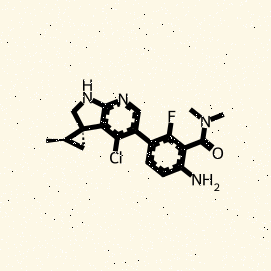 C[C@@H]1C[C@@]12CNc1ncc(-c3ccc(N)c(C(=O)N(C)C)c3F)c(Cl)c12